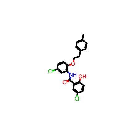 Cc1ccc(CCOc2ccc(Cl)cc2NC(=O)c2cc(Cl)ccc2O)cc1